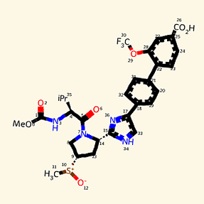 COC(=O)N[C@H](C(=O)N1C[C@@H]([S+](C)[O-])C[C@H]1c1nc(-c2ccc(-c3ccc(C(=O)O)cc3OC(F)(F)F)cc2)c[nH]1)C(C)C